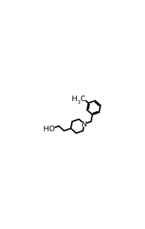 Cc1cccc(CN2CCC(CCO)CC2)c1